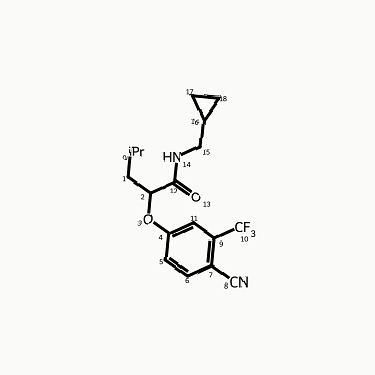 CC(C)CC(Oc1ccc(C#N)c(C(F)(F)F)c1)C(=O)NCC1CC1